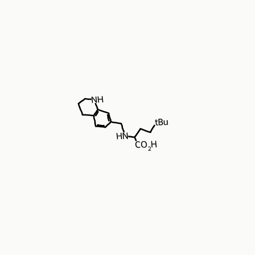 CC(C)(C)CCC(NCc1ccc2c(c1)NCCC2)C(=O)O